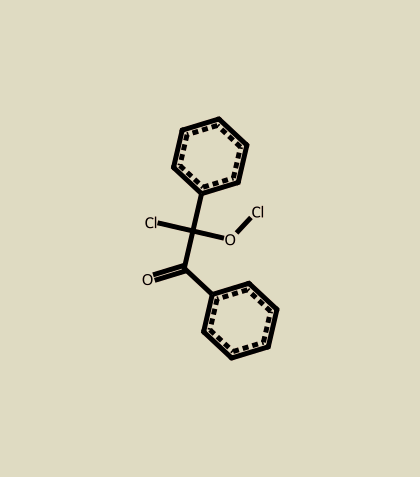 O=C(c1ccccc1)C(Cl)(OCl)c1ccccc1